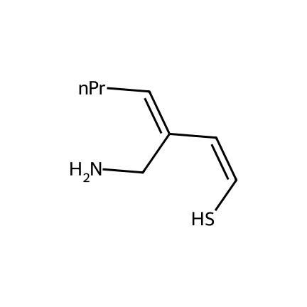 CCC/C=C(/C=C\S)CN